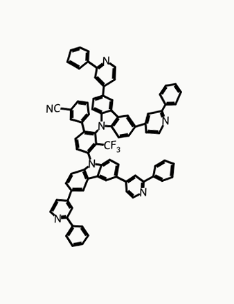 N#Cc1cccc(-c2ccc(-n3c4ccc(-c5ccnc(-c6ccccc6)c5)cc4c4cc(-c5ccnc(-c6ccccc6)c5)ccc43)c(C(F)(F)F)c2-n2c3ccc(-c4ccnc(-c5ccccc5)c4)cc3c3cc(-c4ccnc(-c5ccccc5)c4)ccc32)c1